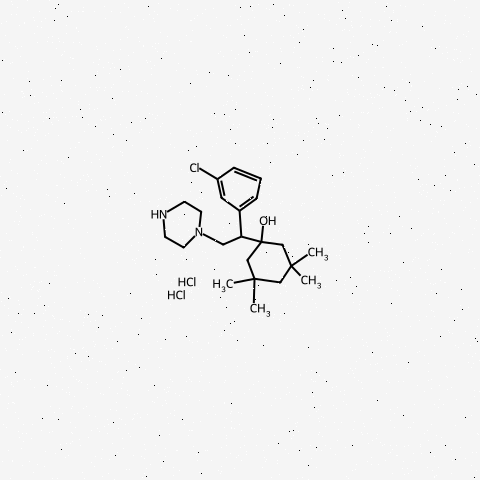 CC1(C)CC(C)(C)CC(O)(C(CN2CCNCC2)c2cccc(Cl)c2)C1.Cl.Cl